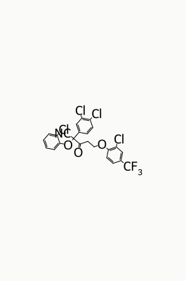 N#CC(Oc1ccccc1Cl)(C(=O)CCOc1ccc(C(F)(F)F)cc1Cl)c1ccc(Cl)c(Cl)c1